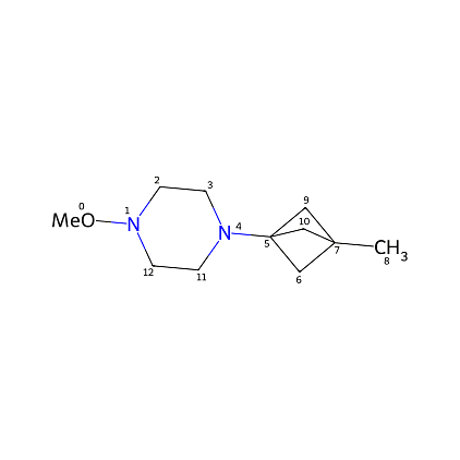 CON1CCN(C23CC(C)(C2)C3)CC1